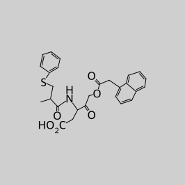 CC(CSc1ccccc1)C(=O)NC(CC(=O)O)C(=O)COC(=O)Cc1cccc2ccccc12